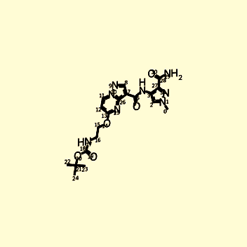 Cn1cc(NC(=O)c2cnn3ccc(OCCNC(=O)OC(C)(C)C)nc23)c(C(N)=O)n1